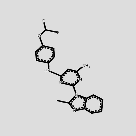 Cc1nc2ccccc2n1-c1nc(N)cc(Nc2ccc(OC(F)F)cc2)n1